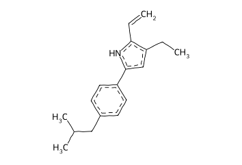 C=Cc1[nH]c(-c2ccc(CC(C)C)cc2)cc1CC